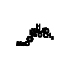 COc1ccc(-c2nnc(NC(=O)c3ccoc3C)s2)cc1